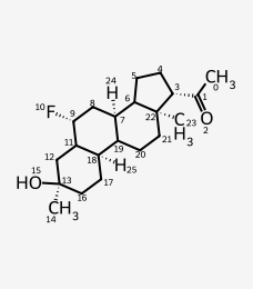 CC(=O)[C@H]1CCC2[C@@H]3C[C@@H](F)C4C[C@](C)(O)CC[C@@H]4C3CC[C@@]21C